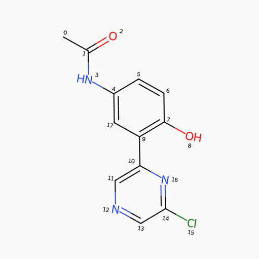 CC(=O)Nc1ccc(O)c(-c2cncc(Cl)n2)c1